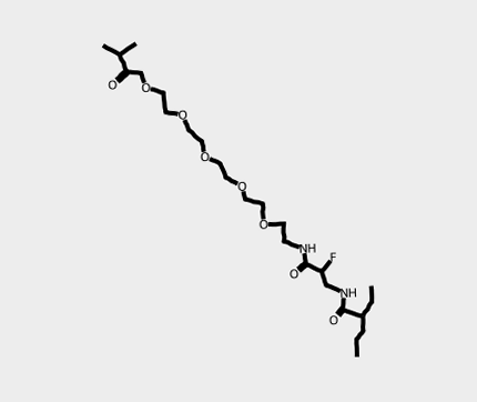 CCCC(CC)C(=O)NCC(F)C(=O)NCCOCCOCCOCCOCCOCC(=O)C(C)C